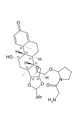 CCCC1O[C@@H]2C[C@H]3[C@@H]4CCC5=CC(=O)C=C[C@]5(C)[C@H]4[C@@H](O)C[C@]3(C)[C@]2(C(=O)COC2CCCN2C(=O)CN)O1